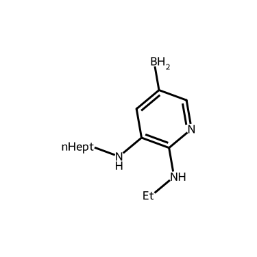 Bc1cnc(NCC)c(NCCCCCCC)c1